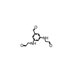 O=[C]c1cc(NCC=O)cc(NCC=O)c1